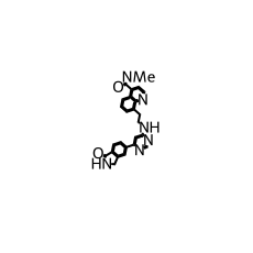 CNC(=O)c1ccnc2c(CCNc3cc(-c4ccc5c(c4)CNC5=O)ncn3)cccc12